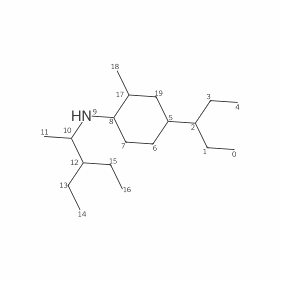 CCC(CC)C1CCC(NC(C)C(CC)CC)C(C)C1